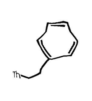 [Th][CH2]c1ccccc1